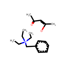 CC(=O)/C=C(/C)[O-].CC[N+](CC)(CC)Cc1ccccc1